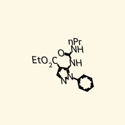 CCCNC(=O)Nc1c(C(=O)OCC)cnn1-c1ccccc1